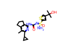 Cc1c(C2CC2)nc(NC(=O)N=S(N)(=O)c2cc(C(C)(C)O)cs2)c2c1CCC2